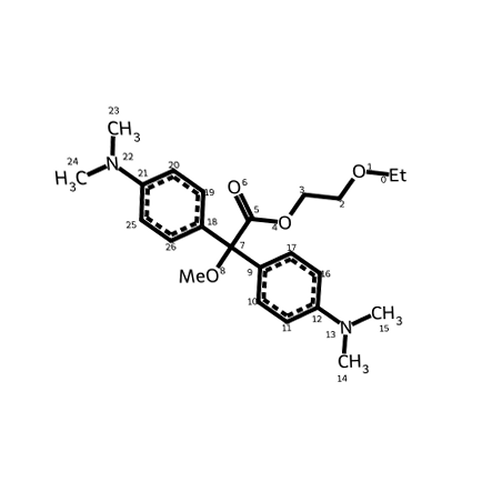 CCOCCOC(=O)C(OC)(c1ccc(N(C)C)cc1)c1ccc(N(C)C)cc1